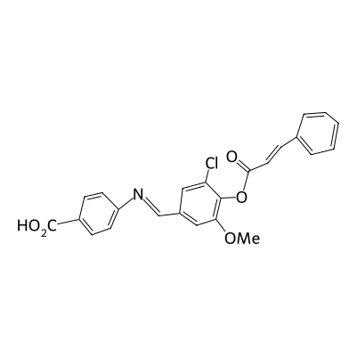 COc1cc(/C=N/c2ccc(C(=O)O)cc2)cc(Cl)c1OC(=O)C=Cc1ccccc1